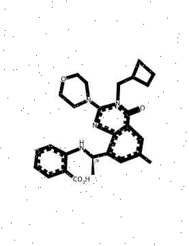 Cc1cc([C@@H](C)Nc2ccccc2C(=O)O)c2nc(N3CCOCC3)n(CC3CCC3)c(=O)c2c1